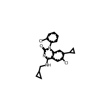 O=c1nc(NCC2CC2)c2cc(Cl)c(C3CC3)cc2n1-c1ccccc1Cl